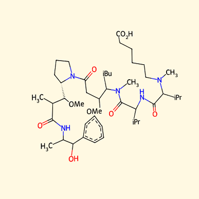 CCC(C)C(C(CC(=O)N1CCC[C@H]1C(OC)C(C)C(=O)NC(C)C(O)c1ccccc1)OC)N(C)C(=O)C(NC(=O)C(C(C)C)N(C)CCCCCC(=O)O)C(C)C